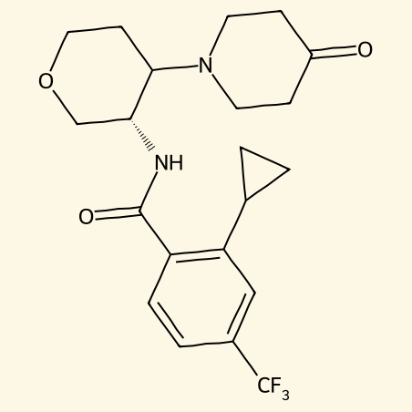 O=C1CCN(C2CCOC[C@H]2NC(=O)c2ccc(C(F)(F)F)cc2C2CC2)CC1